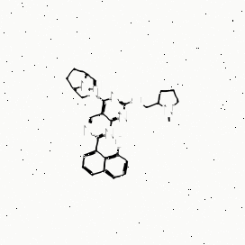 CN1CCCC1COc1nc(N2CC3CCC(C2)N3)c2cnc(-c3cccc4cccc(Cl)c34)nc2n1